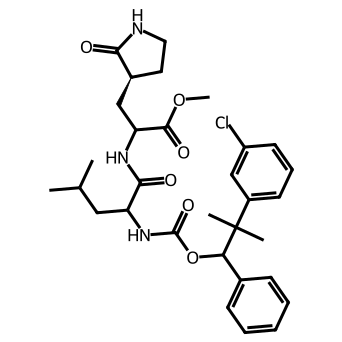 COC(=O)C(C[C@@H]1CCNC1=O)NC(=O)C(CC(C)C)NC(=O)OC(c1ccccc1)C(C)(C)c1cccc(Cl)c1